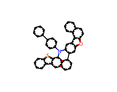 c1ccc(-c2ccc(N(c3cc4c(cc3-c3ccccc3)oc3ccc5ccccc5c34)c3cccc4c3sc3ccccc34)cc2)cc1